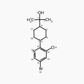 CC(C)(O)C1CCN(c2ncc(Br)cc2Cl)CC1